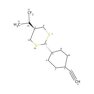 C#CC1CCC([C@H]2SC[C@H](C(C)C(F)(F)F)CS2)CC1